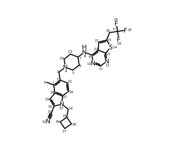 Cc1c(CN2CCC(Nc3ncnc4sc(CC(F)(F)F)cc34)CC2)ccc2c1cc(C#N)n2CC1CCC1